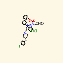 Cl.O=CCN(NCC(CCCN1CCC(Cc2ccc(F)cc2)CC1)(c1ccccc1)c1ccccc1)C(=O)OCc1ccccc1